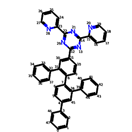 c1ccc(-c2ccc(-c3ccc(-c4nc(-c5ccccn5)nc(-c5ccccn5)n4)cc3-c3ccccc3)c(-c3ccccc3)c2)cc1